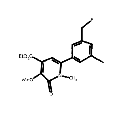 CCOC(=O)c1cc(-c2cc(F)cc(CF)c2)n(C)c(=O)c1OC